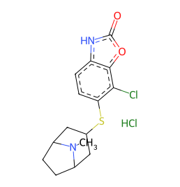 CN1C2CCC1CC(Sc1ccc3[nH]c(=O)oc3c1Cl)C2.Cl